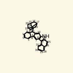 c1ccc2c(c1)-c1cc3c(cc1C2C12CC4CC(CC(C4)C1)C2)[nH]c1ccc2ccccc2c13